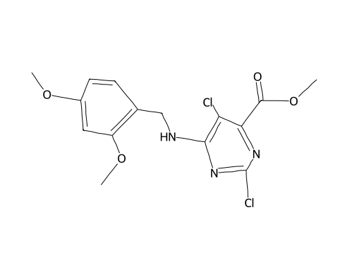 COC(=O)c1nc(Cl)nc(NCc2ccc(OC)cc2OC)c1Cl